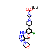 C[C@H]1Oc2c(F)cc(C3CCN(C4CN(C(=O)OC(C)(C)C)C4)CC3)cc2Nc2ncnc(N3CCOCC3)c21